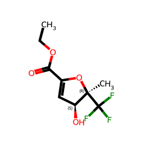 CCOC(=O)C1=C[C@H](O)[C@](C)(C(F)(F)F)O1